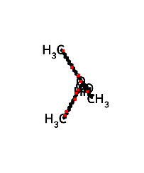 CCCCCCCCCCCCCCCCCCOCC(COC(=O)NCCCC)OCCCCCCCCCCCCCCCCCC